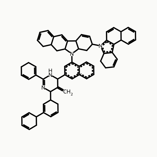 C=C1C(c2cc(N3C4CC5CC=CC=C5C=C4C4C=CC(n5c6c(c7c5CCC=C7)C5C=CC=CC5C=C6)CC43)c3ccccc3c2)NC(C2=CCCC=C2)=NC1C1C=C(C2C=CC=CC2)C=CC1